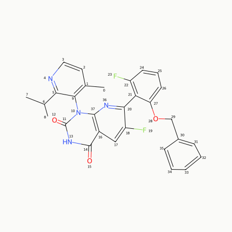 Cc1ccnc(C(C)C)c1-n1c(=O)[nH]c(=O)c2cc(F)c(-c3c(F)cccc3OCc3ccccc3)nc21